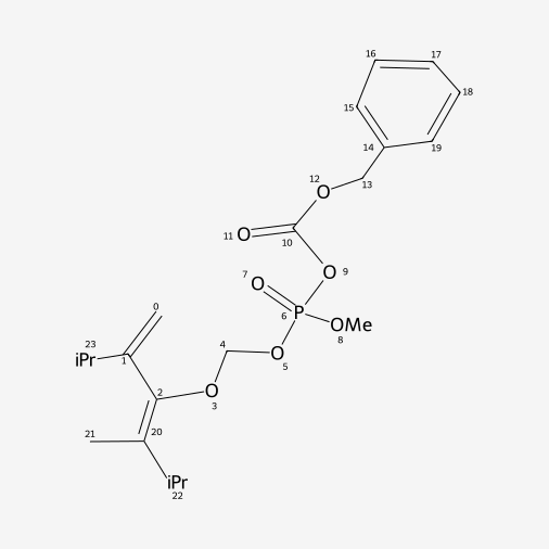 C=C(/C(OCOP(=O)(OC)OC(=O)OCc1ccccc1)=C(\C)C(C)C)C(C)C